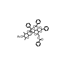 CC(=O)OC1C(C)OC(COC2OC(COC(=O)c3ccccc3)C(OC(=O)c3ccccc3)C(OC(=O)c3ccccc3)C2OC(=O)c2ccccc2)C(OC(C)=O)C1C